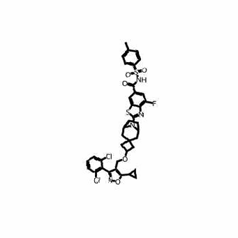 Cc1ccc(S(=O)(=O)NC(=O)c2cc(F)c3nc(N4C5CCC4CC4(CC(OCc6c(-c7c(Cl)cccc7Cl)noc6C6CC6)C4)C5)sc3c2)cc1